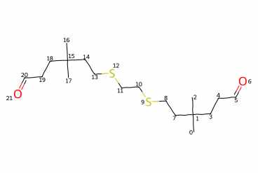 CC(C)(CCC=O)CCSCCSCCC(C)(C)CCC=O